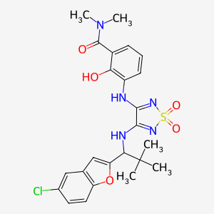 CN(C)C(=O)c1cccc(NC2=NS(=O)(=O)N=C2NC(c2cc3cc(Cl)ccc3o2)C(C)(C)C)c1O